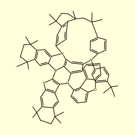 CC(C)(C)c1ccc(N2c3ccc(cc3)C(C)(C)CC3(C)CCC(C)(C)c4cc(ccc43)N3c4cc5c(cc4B4c6sc7cc8c(cc7c6N(c6cccc7oc9ccccc9c67)c6cc2cc3c64)C(C)(C)CCC8(C)C)C(C)(C)CCC5(C)C)cc1